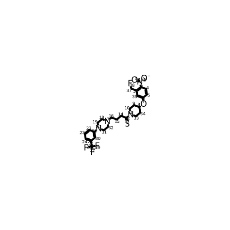 O=[N+]([O-])c1ccc(OC2CCN(C(=S)CCCN3CCN(c4cccc(C(F)(F)F)c4)CC3)CC2)cc1CF